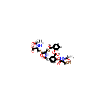 CC(=O)NC(CSC(=O)C(CSC(=O)c1ccccc1OC(=O)c1ccccc1OC(=O)C(CS)NC(C)=O)NC(C)=O)C(=O)O